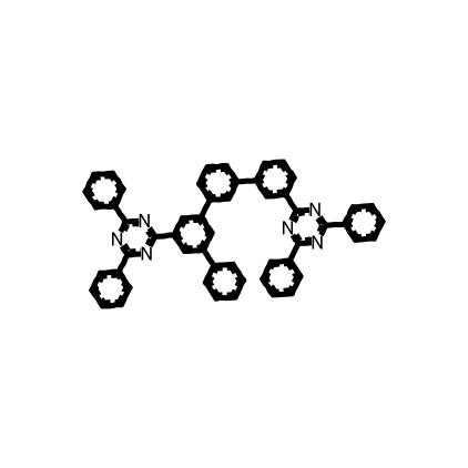 c1ccc(-c2cc(-c3cccc(-c4cccc(-c5nc(-c6ccccc6)nc(-c6ccccc6)n5)c4)c3)cc(-c3nc(-c4ccccc4)nc(-c4ccccc4)n3)c2)cc1